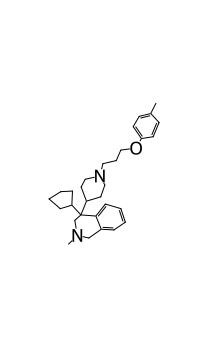 Cc1ccc(OCCCN2CCC(C3(C4CCCC4)CN(C)Cc4ccccc43)CC2)cc1